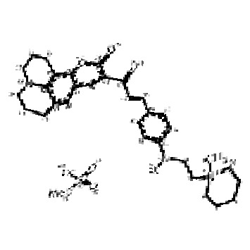 CCN(CC[N+]1(C)CCCCC1)c1ccc(C=CC(=O)c2cc3cc4c5c(c3oc2=O)CCCN5CCC4)cc1.COS(=O)(=O)[O-]